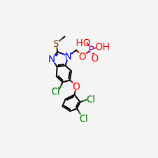 CSc1nc2cc(Cl)c(Oc3cccc(Cl)c3Cl)cc2n1COP(=O)(O)O